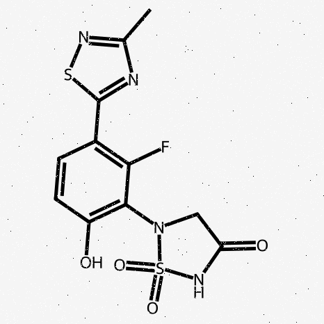 Cc1nsc(-c2ccc(O)c(N3CC(=O)NS3(=O)=O)c2F)n1